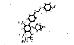 Cc1nc(C)c(-c2ccc(OCCc3ccc(F)cc3)cc2)c(N2CC3CC3C2)c1CC(=O)OC(C)C